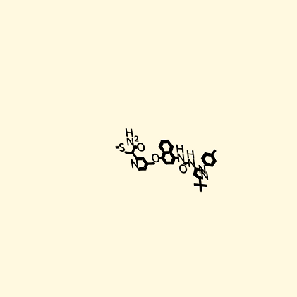 CSCC(C(N)=O)c1cc(COc2ccc(NC(=O)Nc3cc(C(C)(C)C)nn3-c3ccc(C)cc3)c3ccccc23)ccn1